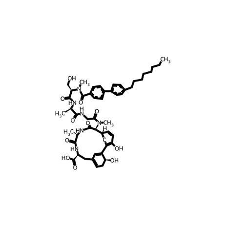 CCCCCCCCc1ccc(-c2ccc(C(=O)N(C)[C@H](CO)C(=O)N[C@H](C)C(=O)NCC(=O)N(C)[C@@H]3C(=O)N[C@@H](C)C(=O)N[C@H](C(=O)O)CC4=CC[C@H](O)C(=C4)C4=C(O)C=C[C@H]3C4)cc2)cc1